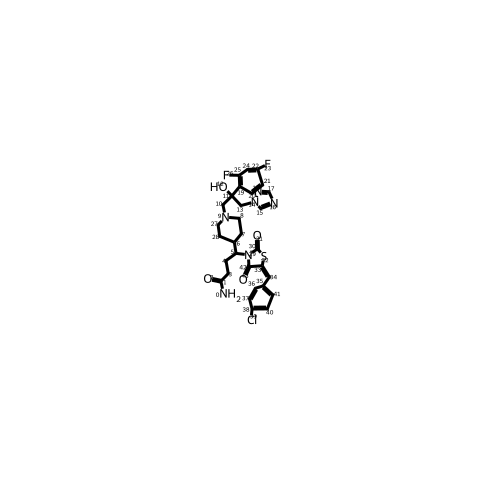 NC(=O)CCC(C1CCN(CC(O)(Cn2cncn2)c2ccc(F)cc2F)CC1)N1C(=O)SC(=Cc2ccc(Cl)cc2)C1=O